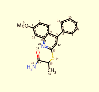 COc1ccc2c(-c3ccccc3)cc(SC(C)C(N)=O)nc2c1